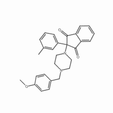 COc1ccc(CN2CCN(C3(c4cccc(C)c4)C(=O)c4ccccc4C3=O)CC2)cc1